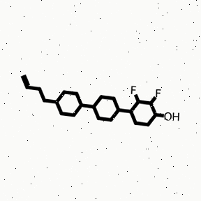 C=CCCC1CCC(C2CCC(C3CCC(O)C(F)C3F)CC2)CC1